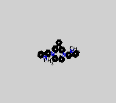 Cn1c2ccccc2c2ccc(N(c3ccccc3)c3ccc(-c4ccccc4-c4ccc(N(c5ccccc5)c5ccc6c7ccccc7n(C)c6c5)cc4)cc3)cc21